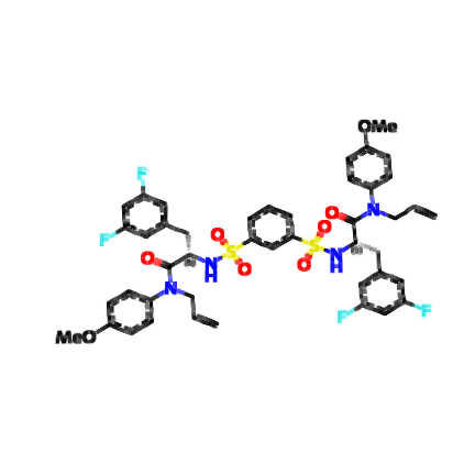 C=CCN(C(=O)[C@H](Cc1cc(F)cc(F)c1)NS(=O)(=O)c1cccc(S(=O)(=O)N[C@@H](Cc2cc(F)cc(F)c2)C(=O)N(CC=C)c2ccc(OC)cc2)c1)c1ccc(OC)cc1